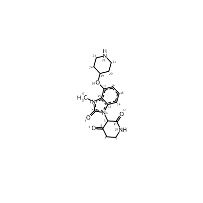 Cn1c(=O)n(C2C(=O)CCNC2=O)c2cccc(OC3CCNCC3)c21